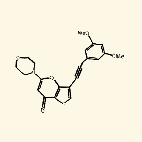 COc1cc(C#Cc2csc3c(=O)cc(N4CCOCC4)oc23)cc(OC)c1